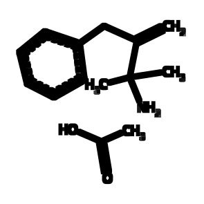 C=C(Cc1ccccc1)C(C)(C)N.CC(=O)O